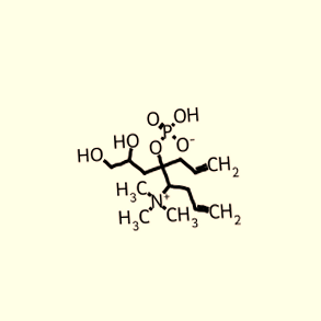 C=CCC(C(CC=C)(CC(O)CO)OP(=O)([O-])O)[N+](C)(C)C